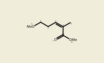 COCCC=C(C)C(=O)OC